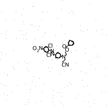 N#CCCN(CCOC(=O)c1ccccc1)c1ccc(N=Nc2c(Cl)cc([N+](=O)[O-])cc2Cl)cc1